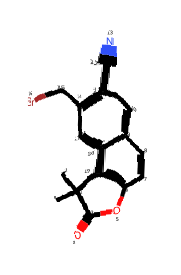 CC1(C)C(=O)Oc2ccc3cc(C#N)c(CBr)cc3c21